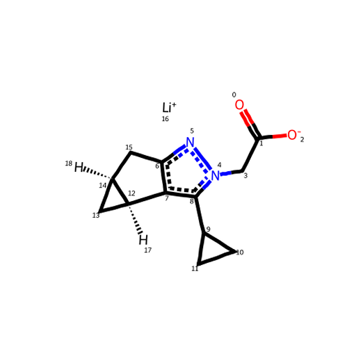 O=C([O-])Cn1nc2c(c1C1CC1)[C@H]1C[C@H]1C2.[Li+]